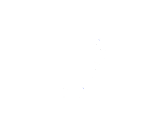 Cl.O=C(O)CCNC(=O)c1cccc(S(=O)(=O)c2ccc(CCNC[C@H](O)c3cccc(Cl)c3)cc2)c1